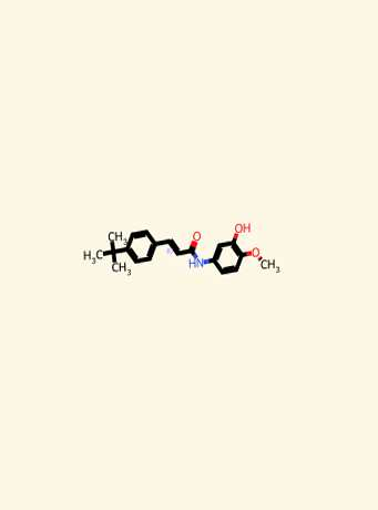 COc1ccc(NC(=O)/C=C/c2ccc(C(C)(C)C)cc2)cc1O